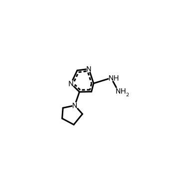 NNc1cc(N2CCCC2)ncn1